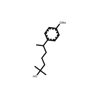 COc1ccc([C](C)CCCC(C)(C)O)cc1